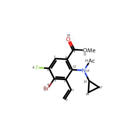 C=Cc1c(Br)c(F)cc(C(=O)OC)c1N(C(C)=O)C1CC1